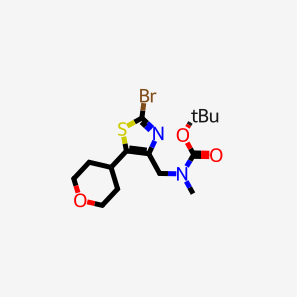 CN(Cc1nc(Br)sc1C1CCOCC1)C(=O)OC(C)(C)C